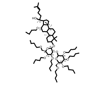 CCCCOC[C@H]1O[C@@H](OC2CC[C@]3(C)C(CC[C@@]4(C)C3C[C@H](OCCCC)C3C([C@@](C)(O)CCC=C(C)C)CC[C@@]34C)C2(C)C)[C@H](OC2O[C@H](COCCCC)[C@@H](OCCCC)[C@H](OCCCC)[C@H]2OCCCC)[C@@H](OCCCC)[C@@H]1OCCCC